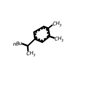 CCCCC(C)c1ccc(C)c(C)c1